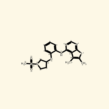 Cc1sc2ncnc(Nc3ccccc3OC3CCN(S(C)(=O)=O)C3)c2c1C